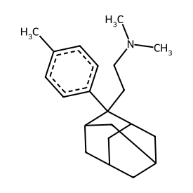 Cc1ccc(C2(CCN(C)C)C3CC4CC(C3)CC2C4)cc1